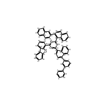 c1ccc(-c2cccc(-c3ccc(-c4nc(-c5c(-c6ccc7ccccc7c6)ccc6ccccc56)nc(-c5cccc6c5oc5ccccc56)n4)c4ccccc34)c2)cc1